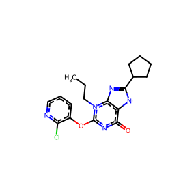 CCCn1c(Oc2cccnc2Cl)nc(=O)c2c1N=C(C1CCCC1)[N]2